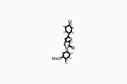 COc1cc(N2Cc3cc(-c4ccc(Cl)cc4)sc3C2=O)ccc1C